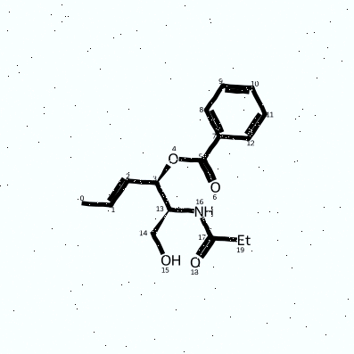 C/C=C/[C@@H](OC(=O)c1ccccc1)[C@H](CO)NC(=O)CC